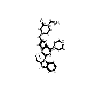 CCc1nc2ccccc2n1-c1nc(N2CCOCC2)c2sc(CN3CCN(CC)C(=O)C3)cc2n1